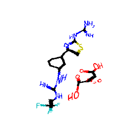 N=C(N)Nc1nc(C2CCCC(NC(=N)NCC(F)(F)F)C2)cs1.O.O=C(O)/C=C\C(=O)O